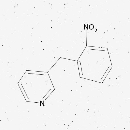 O=[N+]([O-])c1ccccc1Cc1cccnc1